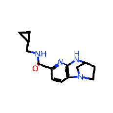 O=C(NCC1CC1)c1ccc2c(n1)NC1CCN2C1